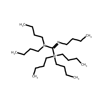 CCCCN=C(N(CCCC)CCCC)[N+](CCCC)(CCCC)CCCC